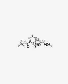 CC(C)(C)OC(=O)N1CCCC(CCCN)([N+](=O)[O-])C1